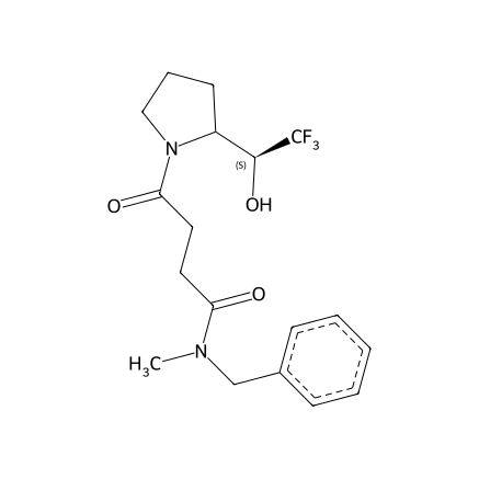 CN(Cc1ccccc1)C(=O)CCC(=O)N1CCCC1[C@H](O)C(F)(F)F